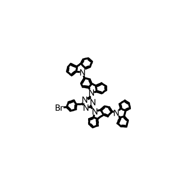 Brc1ccc(-c2nc(-n3c4ccccc4c4cc(-n5c6ccccc6c6ccccc65)ccc43)nc(-n3c4ccccc4c4cc(-n5c6ccccc6c6ccccc65)ccc43)n2)cc1